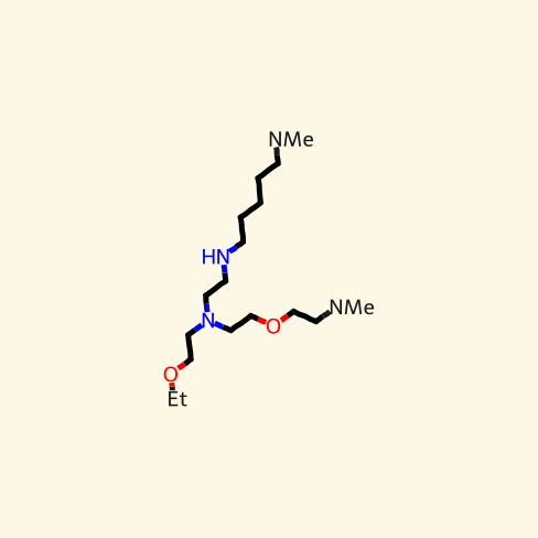 CCOCCN(CCNCCCCCNC)CCOCCNC